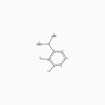 CCCC(O)c1cccc(C)c1C